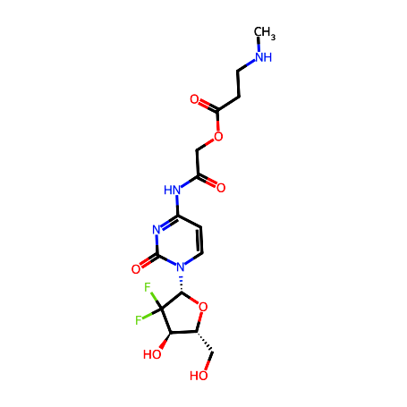 CNCCC(=O)OCC(=O)Nc1ccn([C@@H]2O[C@H](CO)[C@@H](O)C2(F)F)c(=O)n1